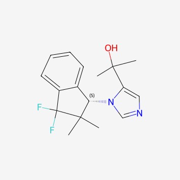 CC(C)(O)c1cncn1[C@H]1c2ccccc2C(F)(F)C1(C)C